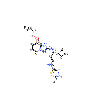 Cc1ncc(N/C=C/C(Nc2nc3c(OCCC(F)(F)F)cccn3n2)C2CCC2)s1